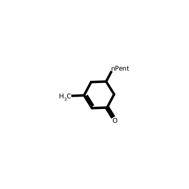 CCCCCC1CC(=O)C=C(C)C1